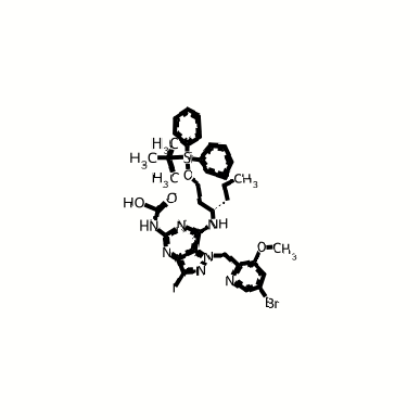 CCC[C@@H](CCO[Si](c1ccccc1)(c1ccccc1)C(C)(C)C)Nc1nc(NC(=O)O)nc2c(I)nn(Cc3ncc(Br)cc3OC)c12